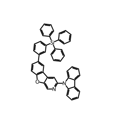 c1ccc([Si](c2ccccc2)(c2ccccc2)c2cccc(-c3ccc4oc5cnc(-n6c7ccccc7c7ccccc76)cc5c4c3)c2)cc1